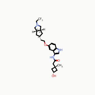 C[C@]1(CC(=O)Nc2c[nH]c3ccc(OCC[C@@H]4C[C@@H]5CN(CC(F)(F)F)C[C@@H]5C4)cc23)C[C@@H](O)C1